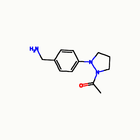 CC(=O)N1CCCN1c1ccc(CN)cc1